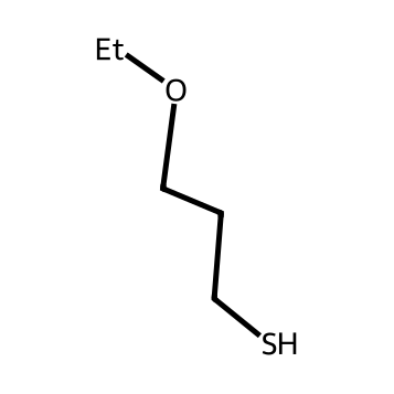 [CH2]COCCCS